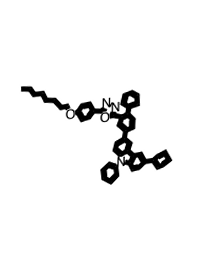 CCCCCCCCOc1ccc(-c2nnc(-c3cc(-c4ccc5c(c4)c4cc(-c6ccccc6)ccc4n5-c4ccccc4)ccc3-c3ccccc3)o2)cc1